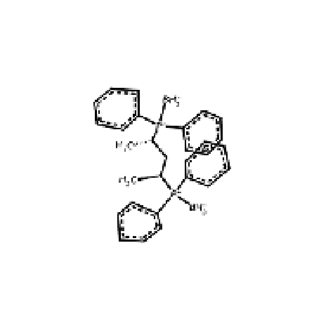 [BH3-][P+](c1ccccc1)(c1ccccc1)[C@@H](C)C[C@H](C)[P+]([BH3-])(c1ccccc1)c1ccccc1